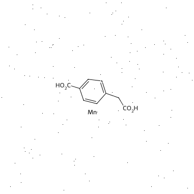 O=C(O)Cc1ccc(C(=O)O)cc1.[Mn]